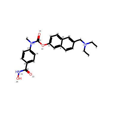 CCN(CC)Cc1ccc2cc(OC(=O)N(C)c3ccc(C(=O)NO)cc3)ccc2c1